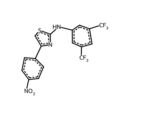 O=[N+]([O-])c1ccc(-c2csc(Nc3cc(C(F)(F)F)cc(C(F)(F)F)c3)n2)cc1